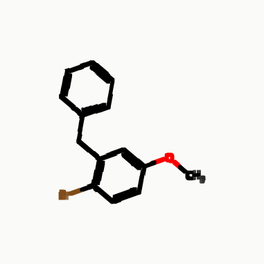 COc1ccc(Br)c(Cc2ccccc2)c1